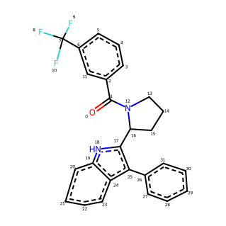 O=C(c1cccc(C(F)(F)F)c1)N1CCCC1c1[nH]c2ccccc2c1-c1ccccc1